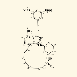 COc1cc(C#Cc2nn3c4c(cnc(N)c24)/C=C/CCOCCCC(=O)N[C@@H]2CCC[C@@H]3C2)cc(OC)c1